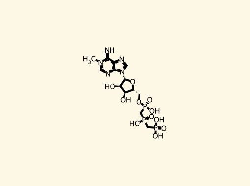 Cn1cnc2c(ncn2[C@@H]2O[C@H](COP(=O)(O)CP(=O)(O)CP(=O)(O)O)[C@@H](O)[C@H]2O)c1=N